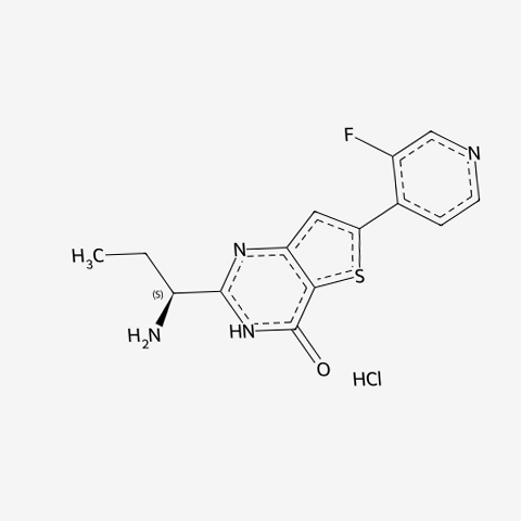 CC[C@H](N)c1nc2cc(-c3ccncc3F)sc2c(=O)[nH]1.Cl